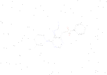 COC1CCCN(c2ncnc3c(S(=O)(=O)c4ccccc4)c(N)[nH]c23)C1